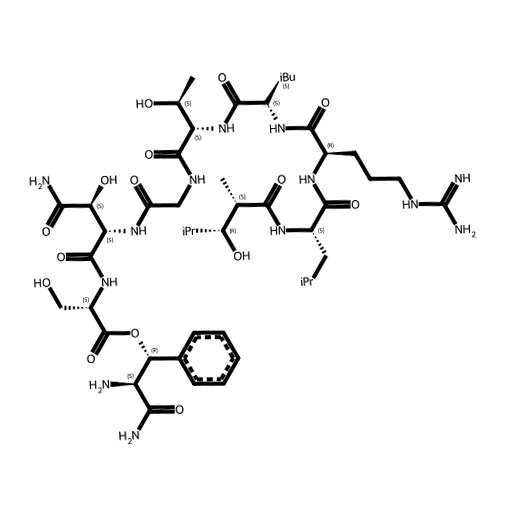 CC[C@H](C)[C@H](NC(=O)[C@@H](CCCNC(=N)N)NC(=O)[C@H](CC(C)C)NC(=O)[C@@H](C)[C@H](O)C(C)C)C(=O)N[C@H](C(=O)NCC(=O)N[C@H](C(=O)N[C@@H](CO)C(=O)O[C@H](c1ccccc1)[C@H](N)C(N)=O)[C@H](O)C(N)=O)[C@H](C)O